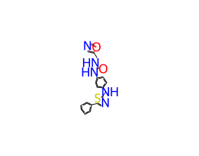 O=C(NCc1cnco1)Nc1ccc(Nc2ncc(-c3ccccc3)s2)cc1